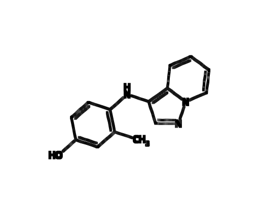 Cc1cc(O)ccc1Nc1cnn2ccccc12